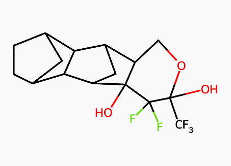 OC12C(COC(O)(C(F)(F)F)C1(F)F)C1CC2C2C3CCC(C3)C12